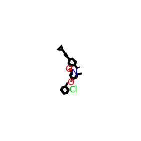 Cc1cc(OCc2ccccc2Cl)cc(=O)n1[C@H](C)c1ccc(C#CC2CC2)cc1